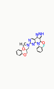 CN(CC1COc2ccccc2O1)c1ncc2c3n[nH]cc3c(=O)n(-c3ccccc3F)c2n1